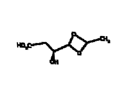 CC1OC([C@@H](O)CC(=O)O)O1